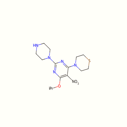 CC(C)Oc1nc(N2CCNCC2)nc(N2CCSCC2)c1[N+](=O)[O-]